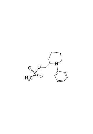 CS(=O)(=O)OCC1CCCCN1c1ccccc1